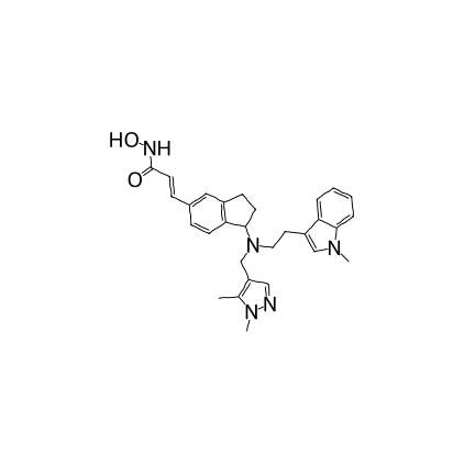 Cc1c(CN(CCc2cn(C)c3ccccc23)C2CCc3cc(/C=C/C(=O)NO)ccc32)cnn1C